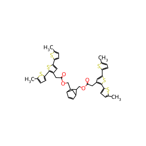 Cc1ccc(-c2cc(CC(=O)OCC3C4C=CC(C4)C3COC(=O)Cc3cc(-c4ccc(C)s4)sc3-c3ccc(C)s3)c(-c3ccc(C)s3)s2)s1